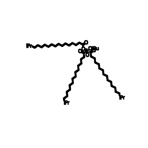 CC(C)CCCCCCCCCCCCCCC(=O)[O][Zr](=[O])([O]CC(C)C)([C](=O)CCCCCCCCCCCCCCC(C)C)[C](=O)CCCCCCCCCCCCCCC(C)C